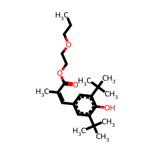 CCCOCCOC(=O)C(C)=Cc1cc(C(C)(C)C)c(O)c(C(C)(C)C)c1